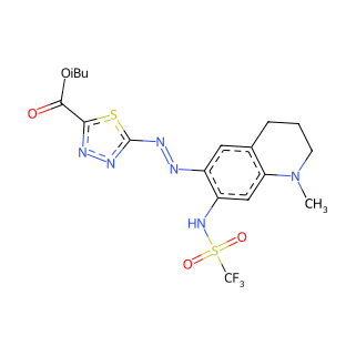 CC(C)COC(=O)c1nnc(N=Nc2cc3c(cc2NS(=O)(=O)C(F)(F)F)N(C)CCC3)s1